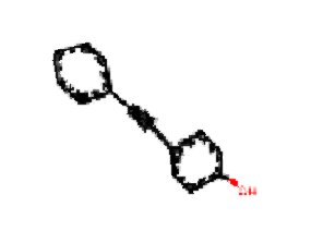 Oc1ccc(C#Cc2c[c]ccc2)cc1